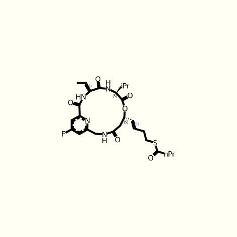 C/C=C1\NC(=O)c2cc(F)cc(n2)CNC(=O)C[C@@H](/C=C/CCSC(=O)CCC)OC(=O)[C@H](C(C)C)NC1=O